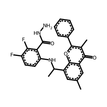 Cc1cc(C(C)Nc2ccc(F)c(F)c2C(=O)NN)c2oc(-c3ccccc3)c(C)c(=O)c2c1